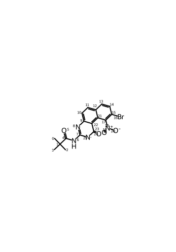 CC(C)(C)C(=O)NC1=Nc2ccc3ccc(Br)c([N+](=O)[O-])c3c2C(=O)[N]1